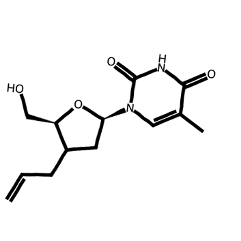 C=CCC1C[C@H](n2cc(C)c(=O)[nH]c2=O)O[C@@H]1CO